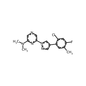 Cc1cc(-c2cnn(-c3cncc(N(C)C)n3)c2)c(Cl)cc1F